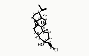 C=C(C)[C@H]1CC[C@H]2[C@@H]3CC[C@@H]4C[C@](O)(C#CCl)CC[C@@H]4[C@H]3CC[C@]12C